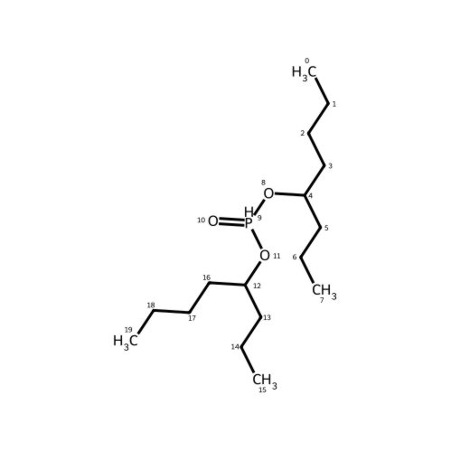 CCCCC(CCC)O[PH](=O)OC(CCC)CCCC